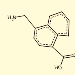 BCc1ccc(C(=O)O)c2ccccc12